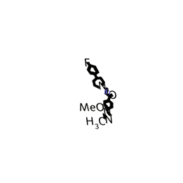 COc1cc(C(=O)/C=C/N2CCCC(c3ccc(F)cc3)CC2)ccc1-n1cnc(C)c1